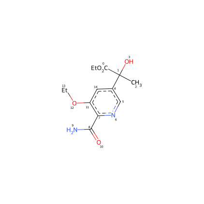 CCOC(=O)C(C)(O)c1cnc(C(N)=O)c(OCC)c1